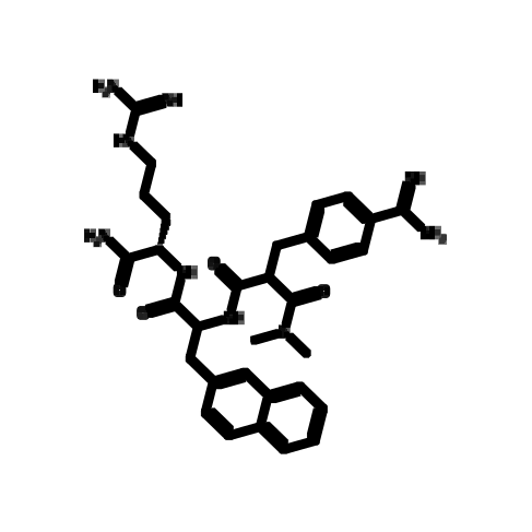 CN(C)C(=O)C(Cc1ccc(C(=N)N)cc1)C(=O)NC(Cc1ccc2ccccc2c1)C(=O)N[C@@H](CCCNC(=N)N)C(N)=O